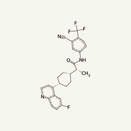 C[C@@H](C(=O)Nc1ccc(C(F)(F)F)c(C#N)c1)[C@H]1CC[C@@H](c2ccnc3ccc(F)cc32)CC1